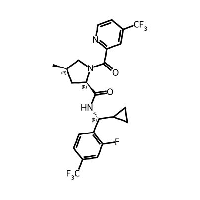 C[C@@H]1C[C@H](C(=O)N[C@@H](c2ccc(C(F)(F)F)cc2F)C2CC2)N(C(=O)c2cc(C(F)(F)F)ccn2)C1